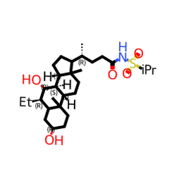 CC[C@@H]1C2C[C@H](O)CCC2(C)[C@H]2CCC3(C)C([C@H](C)CCC(=O)NS(=O)(=O)C(C)C)CC[C@H]3[C@@H]2[C@@H]1O